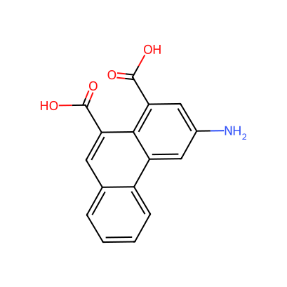 Nc1cc(C(=O)O)c2c(C(=O)O)cc3ccccc3c2c1